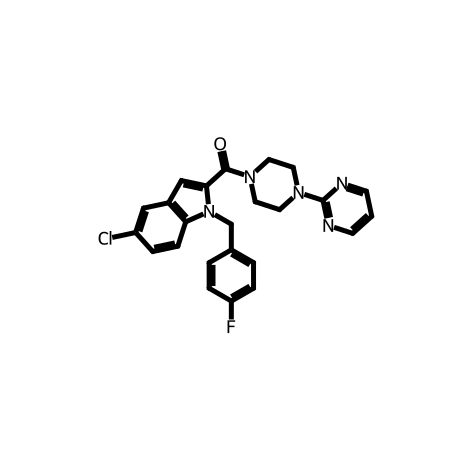 O=C(c1cc2cc(Cl)ccc2n1Cc1ccc(F)cc1)N1CCN(c2ncccn2)CC1